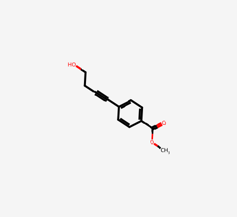 COC(=O)c1ccc(C#CCCO)cc1